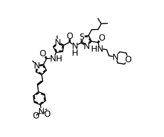 CC(C)CCc1sc(NC(=O)c2cc(NC(=O)c3cc(/C=C/c4ccc([N+](=O)[O-])cc4)cn3C)cn2C)nc1C(=O)NCCN1CCOCC1